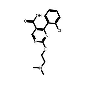 CN(C)CCOc1ncc(C(=O)O)c(-c2ccccc2Cl)n1